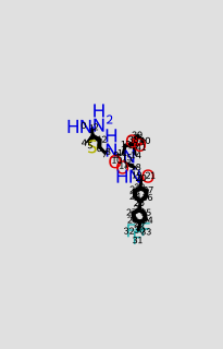 N=C(N)c1csc(CNC(=O)[C@@H]2CC3(CN2C(=O)CNC(=O)c2ccc(-c4ccc(C(F)(F)F)cc4)cc2)OCCO3)c1